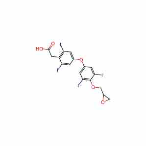 O=C(O)Cc1c(I)cc(Oc2cc(I)c(OCC3CO3)c(I)c2)cc1I